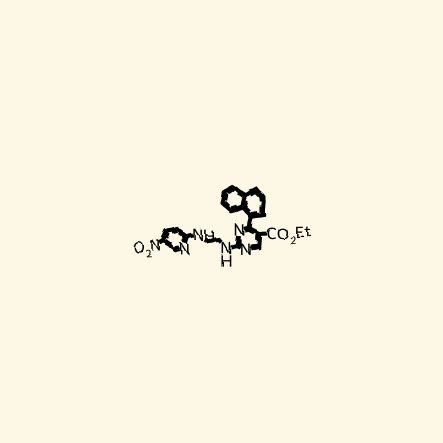 CCOC(=O)c1cnc(NCCNc2ccc([N+](=O)[O-])cn2)nc1-c1cccc2ccccc12